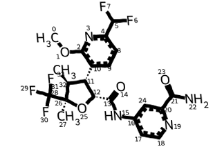 COc1nc(C(F)F)ccc1[C@@H]1[C@H](C(=O)Nc2ccnc(C(N)=O)c2)O[C@@](C)(C(F)(F)F)[C@H]1C